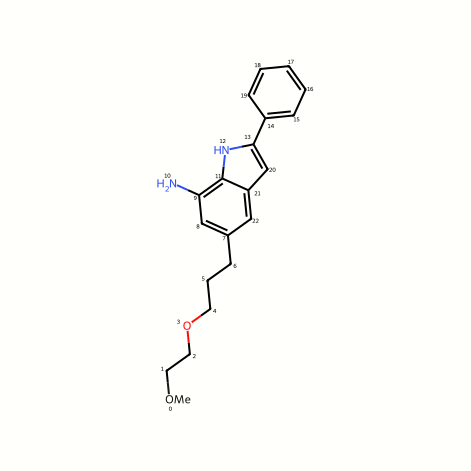 COCCOCCCc1cc(N)c2[nH]c(-c3ccccc3)cc2c1